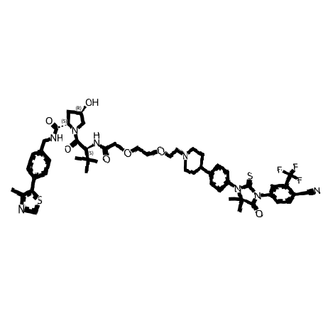 Cc1ncsc1-c1ccc(CNC(=O)[C@@H]2C[C@@H](O)CN2C(=O)[C@@H](NC(=O)COCCOCCN2CCC(c3ccc(N4C(=S)N(c5ccc(C#N)c(C(F)(F)F)c5)C(=O)C4(C)C)cc3)CC2)C(C)(C)C)cc1